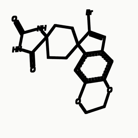 O=C1NC(=O)C2(CCC3(CC2)C(Br)=Cc2cc4c(cc23)OCCO4)N1